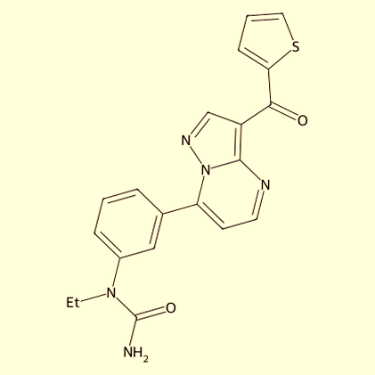 CCN(C(N)=O)c1cccc(-c2ccnc3c(C(=O)c4cccs4)cnn23)c1